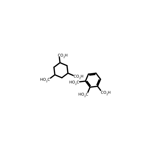 O=C(O)C1CC(C(=O)O)CC(C(=O)O)C1.O=C(O)c1cccc(C(=O)O)c1C(=O)O